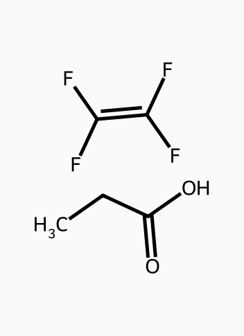 CCC(=O)O.FC(F)=C(F)F